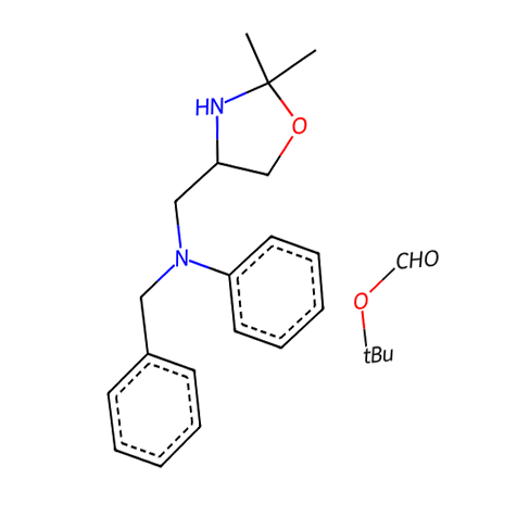 CC(C)(C)OC=O.CC1(C)NC(CN(Cc2ccccc2)c2ccccc2)CO1